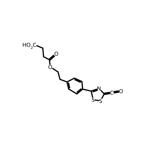 O=C=C1N=C(c2ccc(CCOC(=O)CCC(=O)O)cc2)SS1